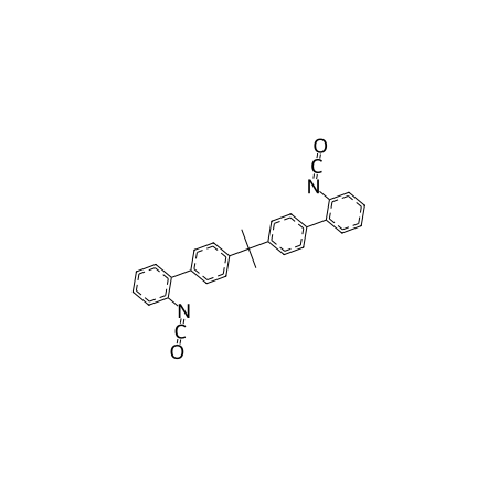 CC(C)(c1ccc(-c2ccccc2N=C=O)cc1)c1ccc(-c2ccccc2N=C=O)cc1